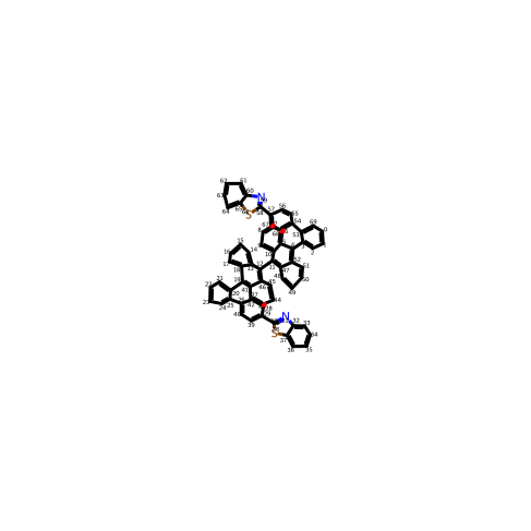 c1ccc(-c2c3ccccc3c(-c3c4ccccc4c(-c4ccccc4-c4ccc(-c5nc6ccccc6s5)cc4)c4ccccc34)c3ccccc23)c(-c2ccc(-c3nc4ccccc4s3)cc2)c1